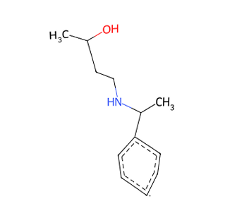 CC(O)CCNC(C)c1cc[c]cc1